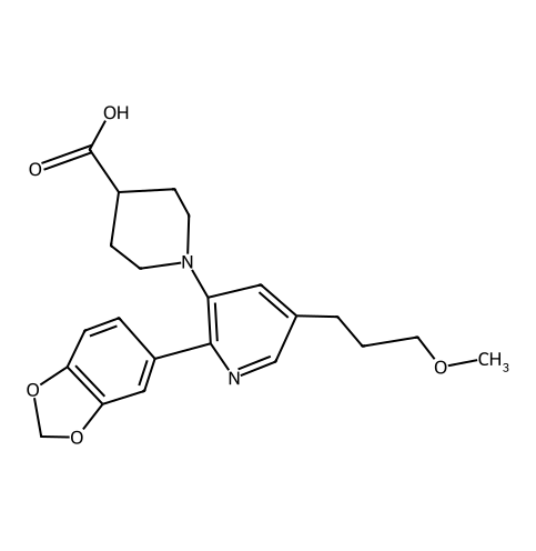 COCCCc1cnc(-c2ccc3c(c2)OCO3)c(N2CCC(C(=O)O)CC2)c1